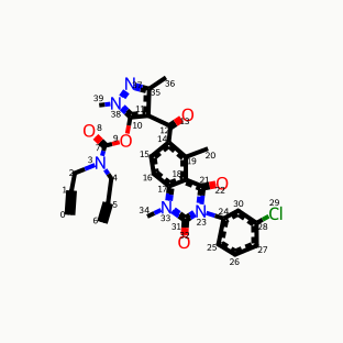 C#CCN(CC#C)C(=O)Oc1c(C(=O)c2ccc3c(c2C)c(=O)n(-c2cccc(Cl)c2)c(=O)n3C)c(C)nn1C